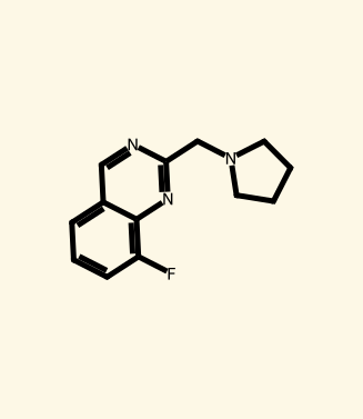 Fc1cccc2cnc(CN3CCCC3)nc12